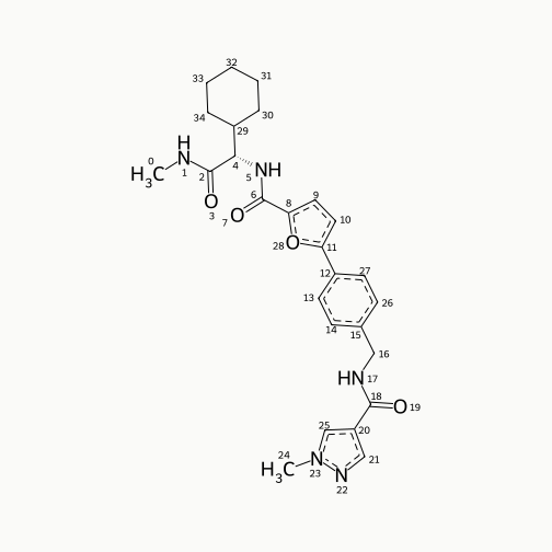 CNC(=O)[C@@H](NC(=O)c1ccc(-c2ccc(CNC(=O)c3cnn(C)c3)cc2)o1)C1CCCCC1